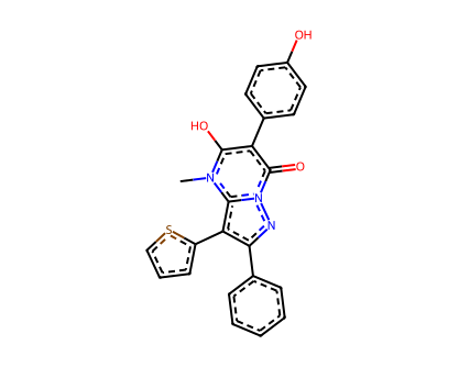 Cn1c(O)c(-c2ccc(O)cc2)c(=O)n2nc(-c3ccccc3)c(-c3cccs3)c12